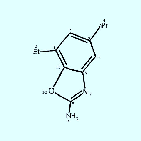 CCc1cc(C(C)C)cc2nc(N)oc12